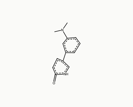 CN(C)c1cccc(-c2ccc(=O)[nH]c2)c1